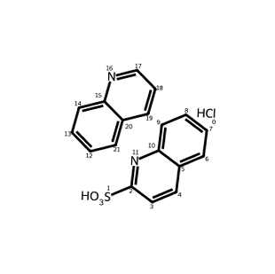 Cl.O=S(=O)(O)c1ccc2ccccc2n1.c1ccc2ncccc2c1